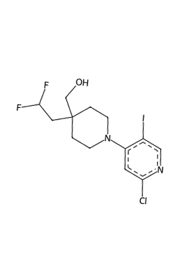 OCC1(CC(F)F)CCN(c2cc(Cl)ncc2I)CC1